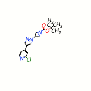 CC(C)(C)OC(=O)N1CC(n2cc(-c3ccnc(Cl)c3)cn2)C1